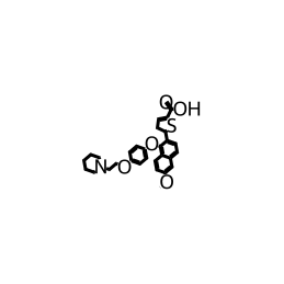 COc1ccc2c(Oc3ccc(OCCN4CCCCC4)cc3)c(C3CC=C(C(=O)O)S3)ccc2c1